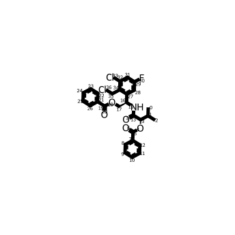 CC(C)[C@H](OC(=O)c1ccccc1)C(=O)N[C@@H](COC(=O)c1ccccc1)c1cc(F)cc(Cl)c1CCl